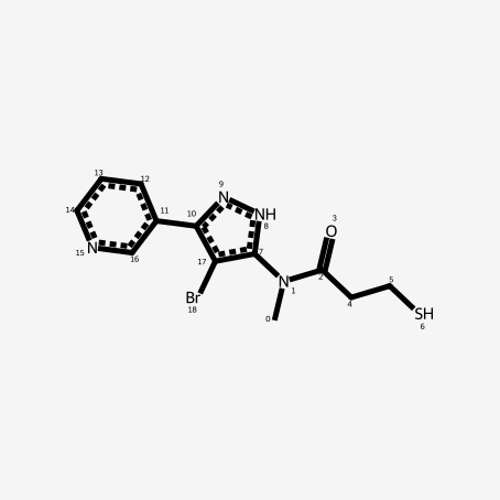 CN(C(=O)CCS)c1[nH]nc(-c2cccnc2)c1Br